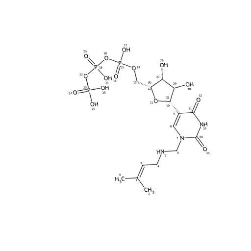 CC(C)=CCNCn1cc([C@@H]2O[C@H](COP(=O)(O)OP(=O)(O)OP(=O)(O)O)C(O)C2O)c(=O)[nH]c1=O